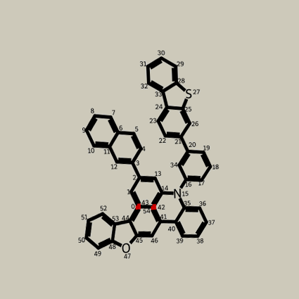 c1cc(-c2ccc3ccccc3c2)cc(N(c2cccc(-c3ccc4c(c3)sc3ccccc34)c2)c2ccccc2-c2ccc3c(c2)oc2ccccc23)c1